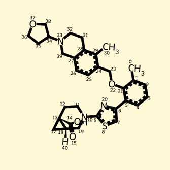 Cc1cccc(-c2csc(N3CC[C@@]4(C(=O)O)C[C@H]4C3)n2)c1OCc1ccc2c(c1C)CCN(C1CCOC1)C2